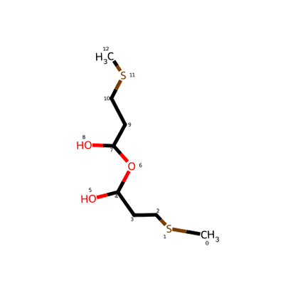 CSCCC(O)OC(O)CCSC